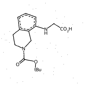 CC(C)(C)OC(=O)N1CCc2cccc(NCC(=O)O)c2C1